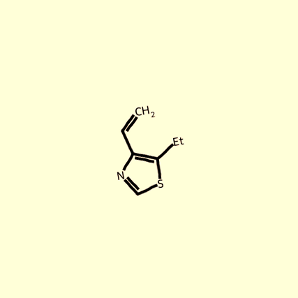 C=Cc1ncsc1CC